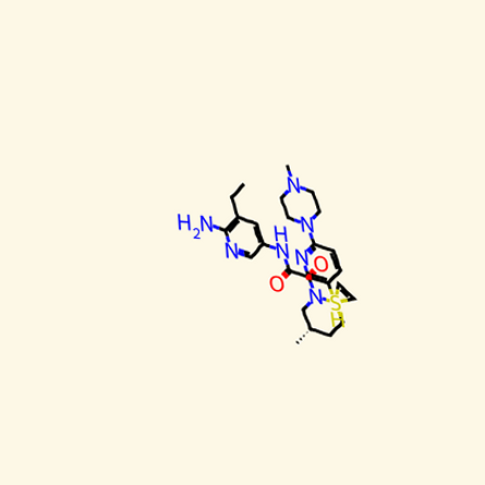 CCc1cc(NC(=O)C(=O)N2C[C@@H](C)CC[SH]23(c2ccc(N4CCN(C)CC4)nc2)C=C3)cnc1N